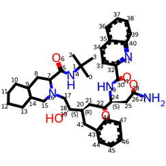 CC(C)(C)NC(=O)C1CC2CCCCC2CN1C[C@@H](O)[C@@H](CC(=O)[C@H](CC(N)=O)NC(=O)c1ccc2ccccc2n1)Cc1ccccc1